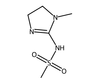 CN1CCN=C1NS(C)(=O)=O